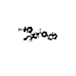 C=CCn1c(=O)c2cnc(Nc3ccc(N4CCN5CCC[C@@H]5C4)cc3)nc2n1-c1cccc(C(C)(C)O)n1